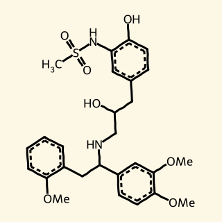 COc1ccccc1CC(NCC(O)Cc1ccc(O)c(NS(C)(=O)=O)c1)c1ccc(OC)c(OC)c1